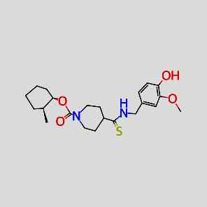 COc1cc(CNC(=S)C2CCN(C(=O)O[C@@H]3CCCC[C@@H]3C)CC2)ccc1O